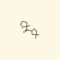 CC1(C)CCN(C(=O)C2(C)CCCO2)C1